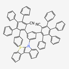 N#Cc1c(-c2ccccc2)c(-c2ccccc2)c(-c2ccccc2)c(-c2ccccc2)c1-c1cc(-c2c(C#N)c(-c3ccccc3)c(-c3ccccc3)c(-c3ccccc3)c2-c2ccccc2)cc(-n2c3ccccc3c3c4ccccc4sc32)c1